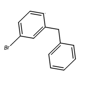 Brc1cc[c]c(Cc2ccccc2)c1